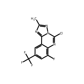 Cc1nc2c3cc(C(F)(F)F)cc(F)c3nc(Cl)n2n1